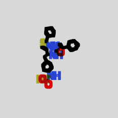 O=[SH](=O)Nc1ccc(C[C@H](Nc2ncc(-c3ccccc3)o2)C2=CSC(c3ccccc3)N2)cc1